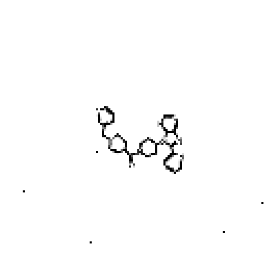 O=C(C1CCN(Cc2cccnc2)CC1)N1CCC(n2c(-c3ccccn3)nc3cccnc32)CC1